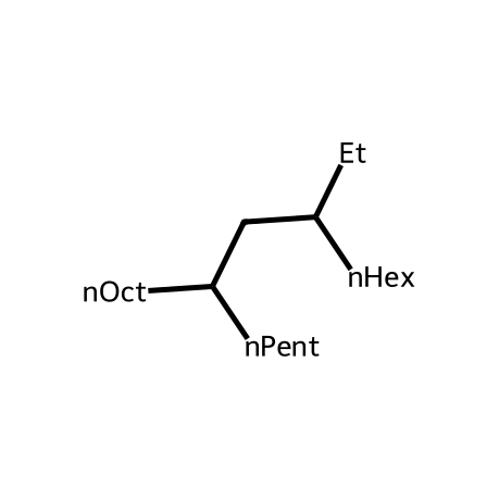 CCCCCCCCC(CCCCC)CC(CC)CCCCCC